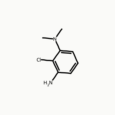 CN(C)c1cccc(N)c1Cl